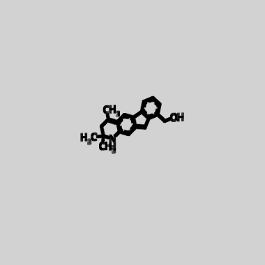 CC1=c2cc3c(cc2NC(C)(C)C1)=Cc1c(CO)cccc1-3